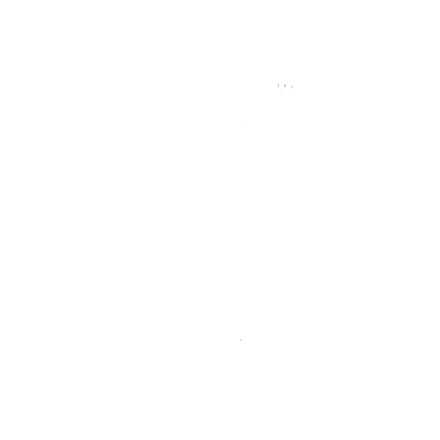 COc1ccc(C=CC(=O)c2cc(C)ccc2OCCN(C)C)cc1F